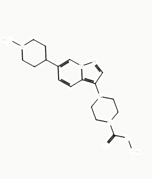 CN1CCC(c2ccc3c(N4CCN(C(=O)OC(C)(C)C)CC4)cnn3c2)CC1